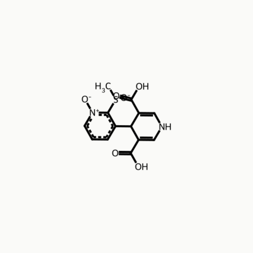 C[S+]([O-])c1c(C2C(C(=O)O)=CNC=C2C(=O)O)ccc[n+]1[O-]